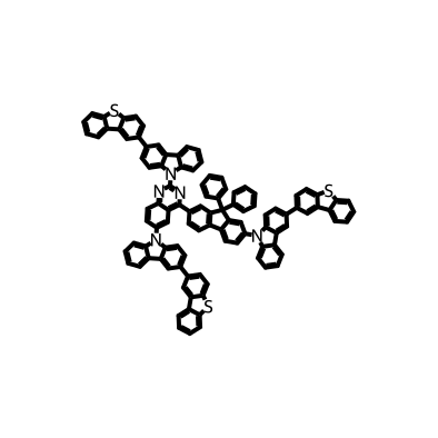 c1ccc(C2(c3ccccc3)c3cc(-c4nc(-n5c6ccccc6c6cc(-c7ccc8sc9ccccc9c8c7)ccc65)nc5ccc(-n6c7ccccc7c7cc(-c8ccc9sc%10ccccc%10c9c8)ccc76)cc45)ccc3-c3ccc(-n4c5ccccc5c5cc(-c6ccc7sc8ccccc8c7c6)ccc54)cc32)cc1